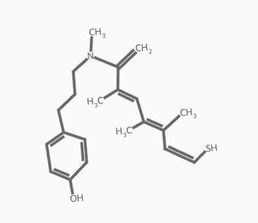 C=C(/C(C)=C/C(C)=C(C)/C=C\S)N(C)CCCc1ccc(O)cc1